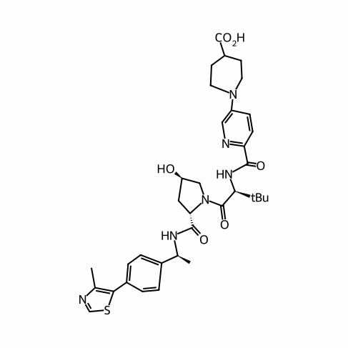 Cc1ncsc1-c1ccc([C@H](C)NC(=O)[C@@H]2C[C@@H](O)CN2C(=O)[C@@H](NC(=O)c2ccc(N3CCC(C(=O)O)CC3)cn2)C(C)(C)C)cc1